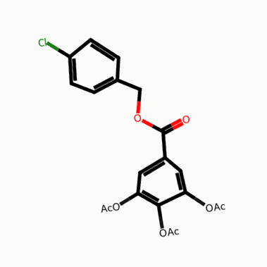 CC(=O)Oc1cc(C(=O)OCc2ccc(Cl)cc2)cc(OC(C)=O)c1OC(C)=O